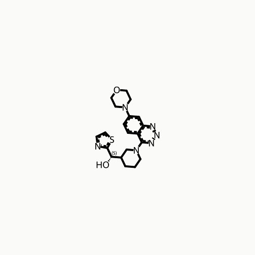 O[C@H](c1nccs1)C1CCCN(c2nnnc3cc(N4CCOCC4)ccc23)C1